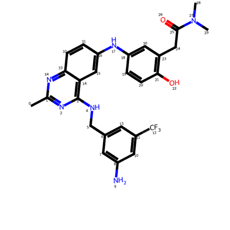 Cc1nc(NCc2cc(N)cc(C(F)(F)F)c2)c2cc(Nc3ccc(O)c(CC(=O)N(C)C)c3)ccc2n1